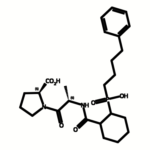 C[C@H](NC(=O)C1CCCCC1P(=O)(O)CCCCc1ccccc1)C(=O)N1CCC[C@H]1C(=O)O